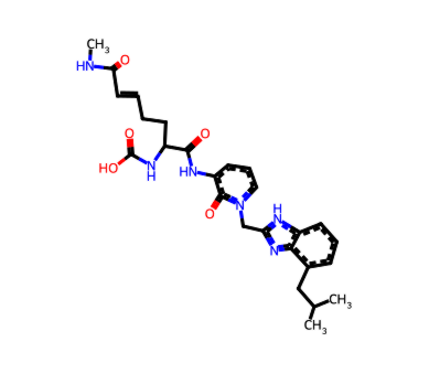 CNC(=O)C=CCCC(NC(=O)O)C(=O)Nc1cccn(Cc2nc3c(CC(C)C)cccc3[nH]2)c1=O